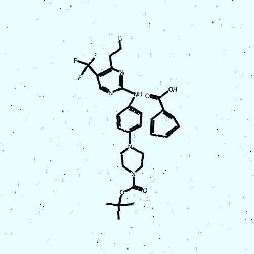 O=C(O)c1ccccc1.[Li][CH2]Cc1nc(Nc2ccc(N3CCN(C(=O)OC(C)(C)C)CC3)cc2)ncc1C(F)(F)F